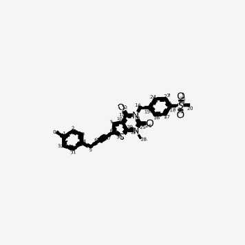 Cc1ccc(CC#Cc2cc3c(=O)n(Cc4ccc(S(C)(=O)=O)cc4)c(=O)n(C)c3s2)cc1